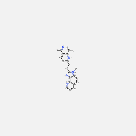 Cc1ncc(C)c2nc(CCc3nc4c5ncccc5ccc4n3C)ccc12